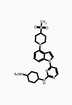 CC(=O)NC1CCC(Nc2nccc(-n3ccc4c(N5CCC(S(C)(=O)=O)CC5)cccc43)n2)CC1